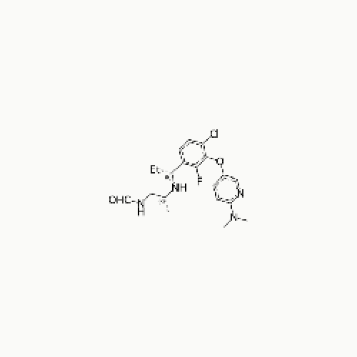 CC[C@@H](N[C@H](C)CNC=O)c1ccc(Cl)c(Oc2ccc(N(C)C)nc2)c1F